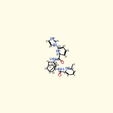 Cc1cccc(C(=O)NC23CC4CC(C2)CC(NC(=O)c2cccc(-n5ccnc5)n2)(C4)C3)n1